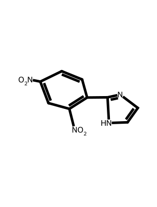 O=[N+]([O-])c1ccc(-c2ncc[nH]2)c([N+](=O)[O-])c1